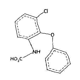 O=C(O)Nc1cccc(Cl)c1Oc1ccccc1